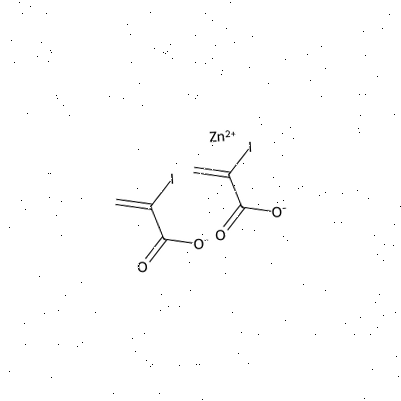 C=C(I)C(=O)[O-].C=C(I)C(=O)[O-].[Zn+2]